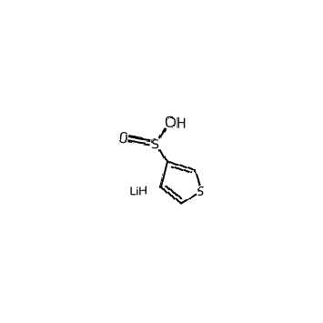 O=S(O)c1ccsc1.[LiH]